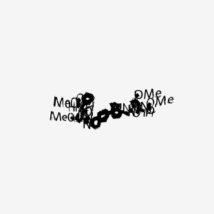 COC[C@H]1C[C@@H](c2ncc(-c3ccc(-c4ccc5c(c4)CCc4nc([C@@H]6C[C@H](COC)CN6C(=O)[C@H](NC(=O)OC)c6ccccc6)[nH]c4-5)c4c3CCC4)[nH]2)N(C(=O)[C@@H](NC(=O)OC)C(C)C)C1